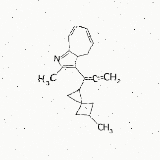 C=C=C(C1=C(C)N=C2C=CC=CCC21)C1CC12CC(C)C2